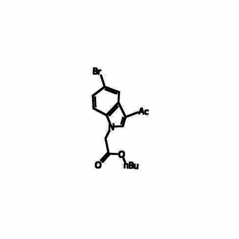 CCCCOC(=O)Cn1cc(C(C)=O)c2cc(Br)ccc21